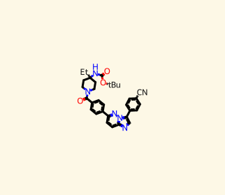 CCC1(NC(=O)OC(C)(C)C)CCN(C(=O)c2ccc(-c3ccc4ncc(-c5ccc(C#N)cc5)n4n3)cc2)CC1